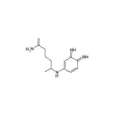 C=C(N)CCCC(C)NC1=CC(=N)C(=N)C=C1